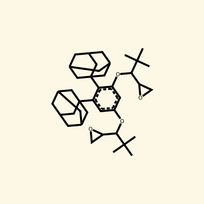 CC(C)(C)C(Oc1cc(OC(C2CO2)C(C)(C)C)c(C23CC4CC(CC(C4)C2)C3)c(C23CC4CC(CC(C4)C2)C3)c1)C1CO1